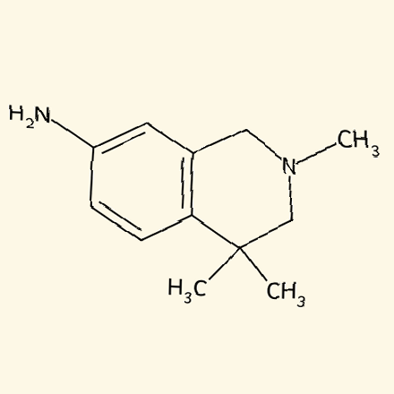 CN1Cc2cc(N)ccc2C(C)(C)C1